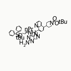 CCC[C@@H](CCO[Si](c1ccccc1)(c1ccccc1)C(C)(C)C)Nc1nc(N)nc2cnn(Cc3ccc(C4CCN(C(=O)OC(C)(C)C)CC4)c4cccnc34)c12